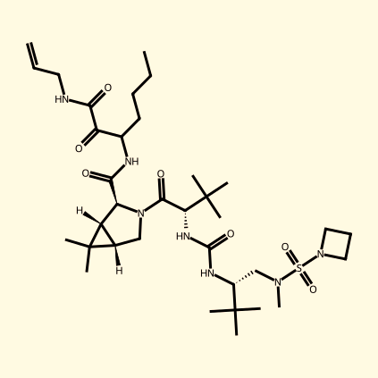 C=CCNC(=O)C(=O)C(CCCC)NC(=O)[C@@H]1[C@@H]2[C@H](CN1C(=O)[C@@H](NC(=O)N[C@H](CN(C)S(=O)(=O)N1CCC1)C(C)(C)C)C(C)(C)C)C2(C)C